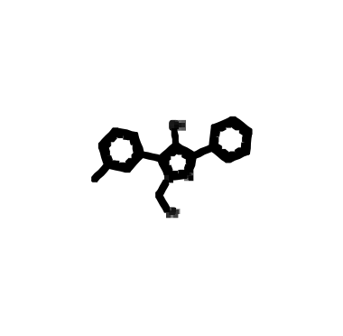 Cc1cccc(-c2c(O)c(-c3ccccc3)nn2CC(C)C)c1